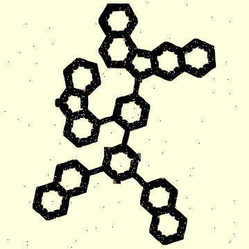 c1ccc2cc(-c3nc(-c4ccc5ccccc5c4)nc(-c4ccc(-n5c6cc7ccccc7cc6c6c7ccccc7ccc65)cc4-c4cccc5oc6ccccc6c45)n3)ccc2c1